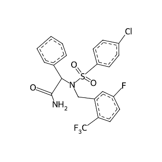 NC(=O)C(c1ccccc1)N(Cc1cc(F)ccc1C(F)(F)F)S(=O)(=O)c1ccc(Cl)cc1